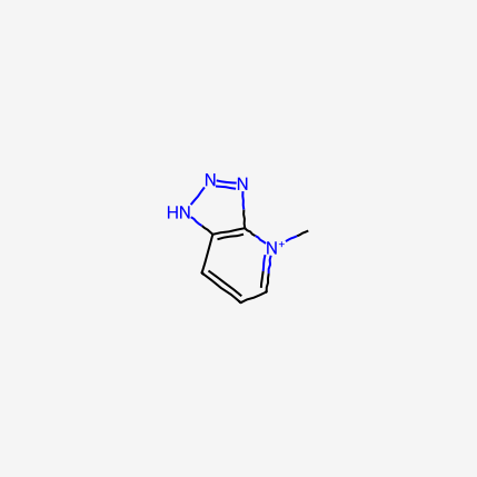 C[n+]1cccc2[nH]nnc21